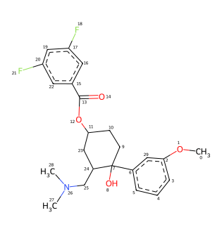 COc1cccc(C2(O)CCC(OC(=O)c3cc(F)cc(F)c3)CC2CN(C)C)c1